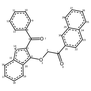 O=C(COc1c(C(=O)c2ccccc2)sc2ccccc12)c1ccc2ccccc2c1